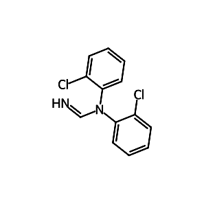 N=CN(c1ccccc1Cl)c1ccccc1Cl